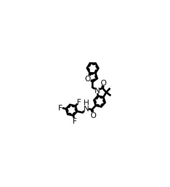 CC1(C)C(=O)N(Cc2cc3ccccc3o2)c2cc(C(=O)NCc3c(F)cc(F)cc3F)ccc21